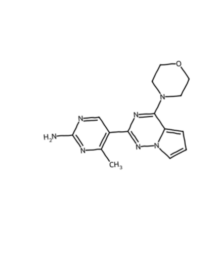 Cc1nc(N)ncc1-c1nc(N2CCOCC2)c2cccn2n1